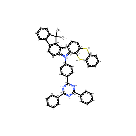 CC1(C)c2ccccc2-c2ccc3c(c21)c1ccc2c(c1n3-c1ccc(-c3nc(-c4ccccc4)nc(-c4ccccc4)n3)cc1)Sc1ccccc1S2